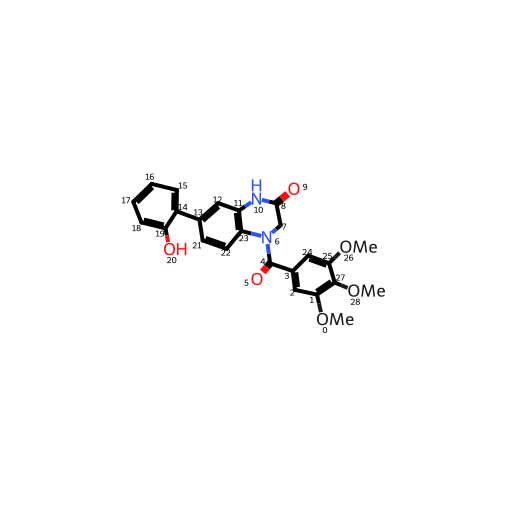 COc1cc(C(=O)N2CC(=O)Nc3cc(-c4ccccc4O)ccc32)cc(OC)c1OC